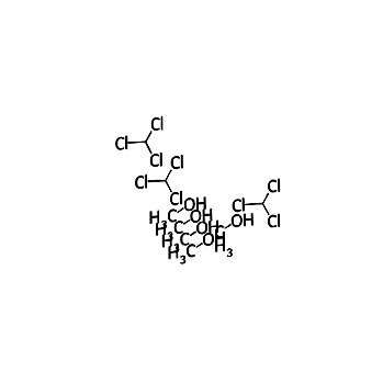 CO.CO.CO.CO.CO.ClC(Cl)Cl.ClC(Cl)Cl.ClC(Cl)Cl